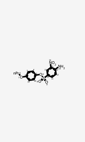 CCCOc1ccc(OS(=O)(=O)c2ccc(N)c([N+](=O)[O-])c2)cc1